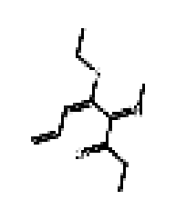 C=C/C=C(SCC)\C(=N/C)C(=O)CC